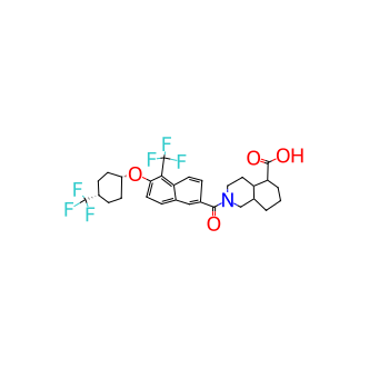 O=C(O)C1CCCC2CN(C(=O)c3ccc4c(C(F)(F)F)c(O[C@H]5CC[C@@H](C(F)(F)F)CC5)ccc4c3)CCC21